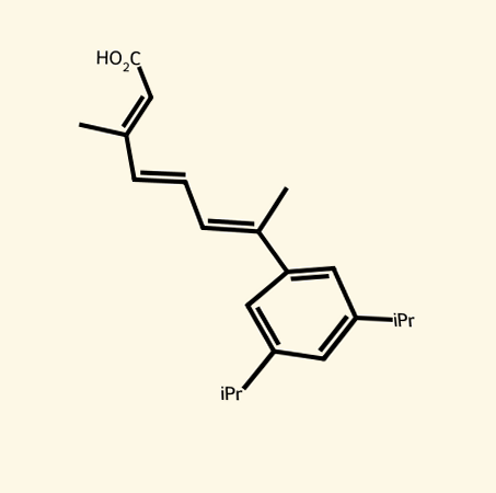 CC(C=CC=C(C)c1cc(C(C)C)cc(C(C)C)c1)=CC(=O)O